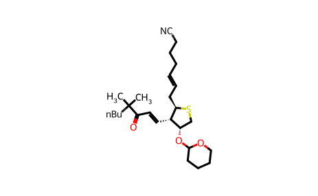 CCCCC(C)(C)C(=O)C=C[C@H]1[C@@H](OC2CCCCO2)CS[C@@H]1CC=CCCCC#N